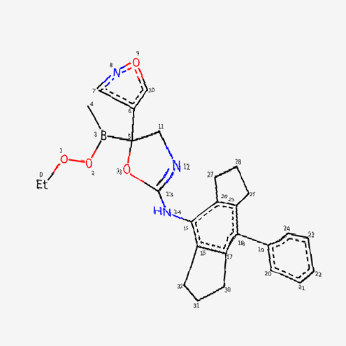 CCOOB(C)C1(c2cnoc2)CN=C(Nc2c3c(c(-c4ccccc4)c4c2CCC4)CCC3)O1